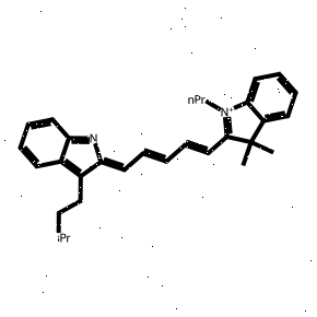 CCC[N+]1=C(C=CC=CC=C2N=c3ccccc3=C2CCC(C)C)C(C)(C)c2ccccc21